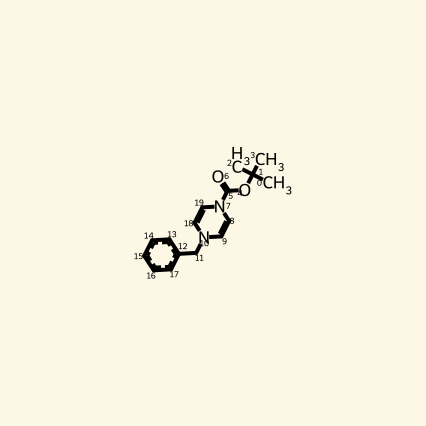 CC(C)(C)OC(=O)N1C=CN(Cc2ccccc2)C=C1